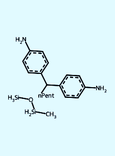 CCCCCC(c1ccc(N)cc1)c1ccc(N)cc1.C[SiH2]O[SiH3]